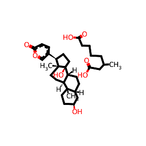 CC(CCCCC(=O)O)CC(=O)O.C[C@]12CC[C@H](O)C[C@H]1CC[C@@H]1[C@@H]2CC[C@]2(C)[C@@H](c3ccc(=O)oc3)CC[C@]12O